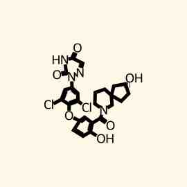 O=C(c1cc(Oc2c(Cl)cc(-n3ncc(=O)[nH]c3=O)cc2Cl)ccc1O)N1CCCC2(CC[C@@H](O)C2)C1